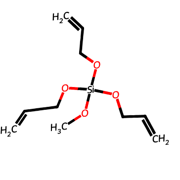 C=CCO[Si](OC)(OCC=C)OCC=C